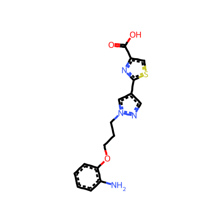 Nc1ccccc1OCCCn1cc(-c2nc(C(=O)O)cs2)cn1